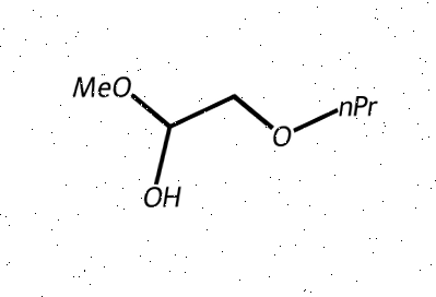 [CH2]CCOCC(O)OC